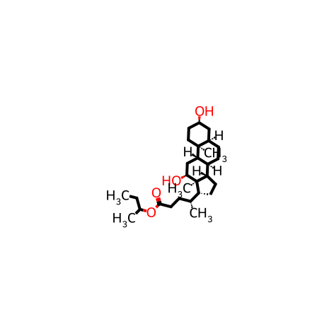 CCC(C)OC(=O)CC[C@@H](C)[C@H]1CC[C@H]2[C@@H]3CC[C@@H]4C[C@H](O)CC[C@]4(C)[C@H]3C[C@H](O)[C@]12C